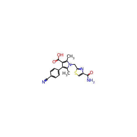 Cc1c(C(=O)O)c(-c2ccc(C#N)cc2)c(C)n1Cc1nc(C(N)=O)cs1